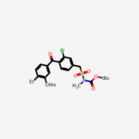 CCc1ccc(C(=O)c2ccc(CS(=O)(=O)N(C)C(=O)OC(C)(C)C)cc2Br)cc1OC